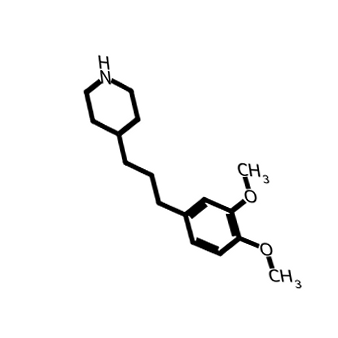 COc1ccc(CCCC2CCNCC2)cc1OC